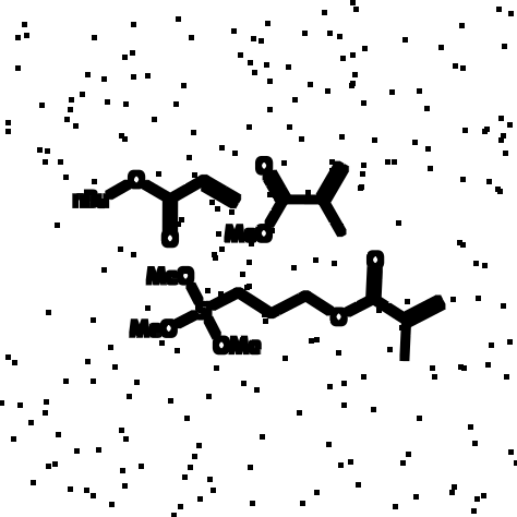 C=C(C)C(=O)OC.C=C(C)C(=O)OCCC[Si](OC)(OC)OC.C=CC(=O)OCCCC